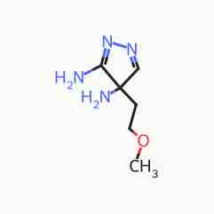 COCCC1(N)C=NN=C1N